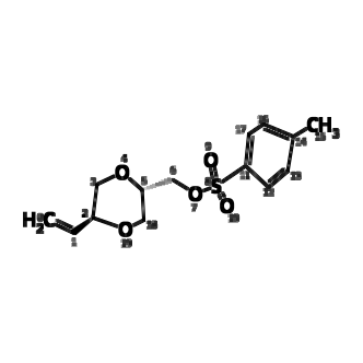 C=C[C@H]1CO[C@H](COS(=O)(=O)c2ccc(C)cc2)CO1